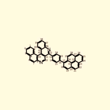 c1ccc2c(c1)ccc1ncc3c(-c4ccc(-c5ccc6ccc7cccc8ccc5c6c78)cc4)nc4ccccc4c3c12